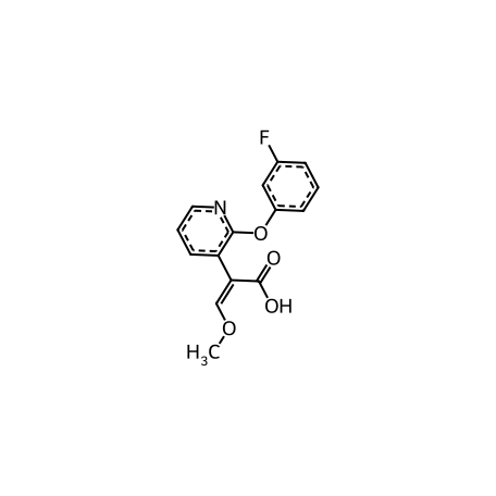 COC=C(C(=O)O)c1cccnc1Oc1cccc(F)c1